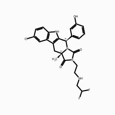 C[C@@]12Cc3c([nH]c4ccc(Cl)cc34)[C@@H](c3cccc(O)c3)N1C(=O)N(CCNCC(F)F)C2=O